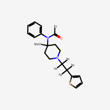 [2H]C([2H])(c1cccs1)C([2H])([2H])N1CCC(OC)(N(C(=O)CC)c2ccccc2)CC1